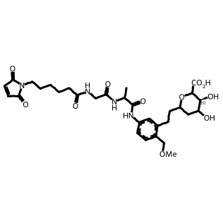 COCc1ccc(NC(=O)C(C)NC(=O)CNC(=O)CCCCCN2C(=O)C=CC2=O)cc1CCC1CC(O)[C@H](O)C(C(=O)O)O1